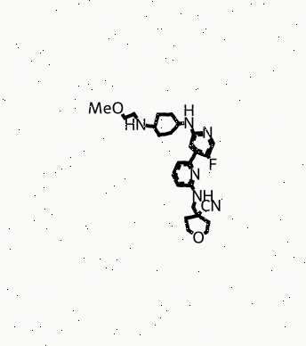 COCCNC1CCC(Nc2cc(-c3cccc(NCC4(C#N)CCOCC4)n3)c(F)cn2)CC1